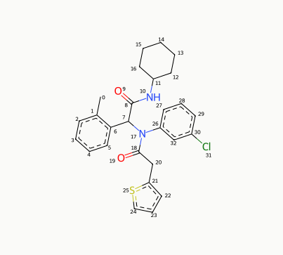 Cc1ccccc1C(C(=O)NC1CCCCC1)N(C(=O)Cc1cccs1)c1cccc(Cl)c1